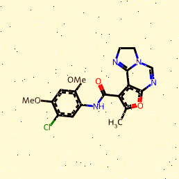 COc1cc(OC)c(NC(=O)c2c(C)oc3c2C2=NCCN2C=N3)cc1Cl